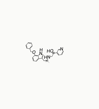 C[C@H](Cc1c[nH]c2c(OCc3ccccc3)cccc12)NC[C@H](O)c1cccnc1